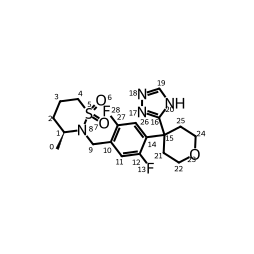 C[C@H]1CCCS(=O)(=O)N1Cc1cc(F)c(C2(c3nnc[nH]3)CCOCC2)cc1F